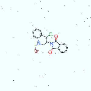 O=C1c2ccccc2C(=O)N1C1=C(Cl)c2ccccc2N(CBr)C1